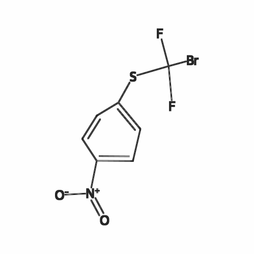 O=[N+]([O-])c1ccc(SC(F)(F)Br)cc1